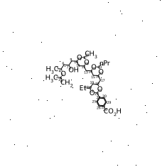 C=C(C)OC(C)CC(O)CC1CC(CC2CC(CC3CC(CC)OC(c4ccc(C(=O)O)cc4)O3)OC(CCC)O2)OC(C)O1